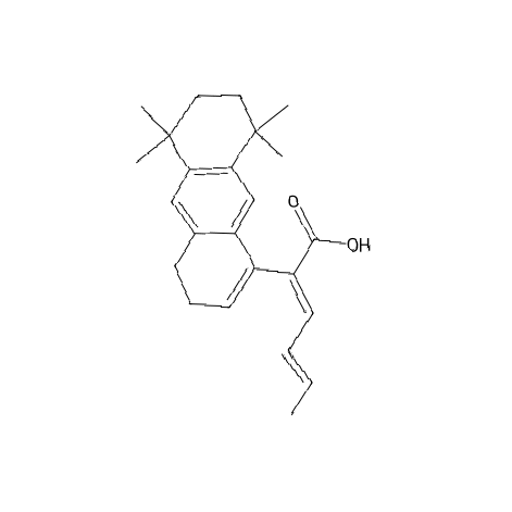 C/C=C/C=C(/C(=O)O)C1=CCCc2cc3c(cc21)C(C)(C)CCC3(C)C